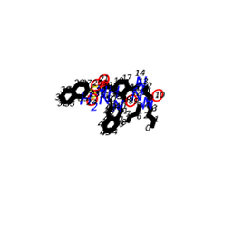 CCCCN(CCCC)C(=O)c1cn(C)c(-c2ccc(C(=O)NS(=O)(=O)c3ccc4ccccc4c3)cc2C(=O)N2Cc3ccccc3C[C@H]2CN)n1